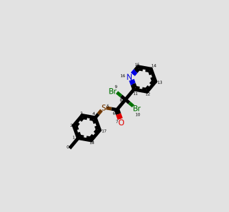 Cc1ccc(SC(=O)C(Br)(Br)c2ccccn2)cc1